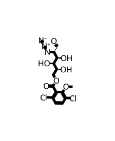 COc1c(Cl)ccc(Cl)c1C(=O)OC[C@@H](O)[C@@H](O)[C@H](O)[C@@H](C=O)N=[N+]=[N-]